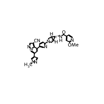 COc1cc(C(=O)NC[C@@H]2[C@H]3CN(c4ccc(-c5cc(-c6cnn(C)c6)cn6ncc(C#N)c56)cn4)C[C@@H]23)ccn1